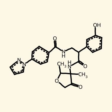 CC1OCC(=O)C1(C)NC(=O)C(CNC(=O)c1ccc(-n2cccn2)cc1)c1cccc(O)c1